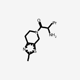 Cc1nc2c(s1)CN(C(=O)C(N)C(C)C)CC2